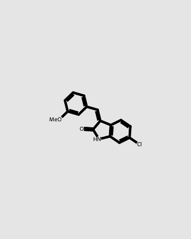 COc1cccc(C=C2C(=O)Nc3cc(Cl)ccc32)c1